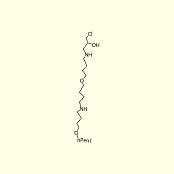 CCCCCOCCCCNCCCCOCCCCNCC(O)CCl